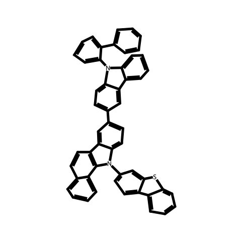 c1ccc(-c2ccccc2-n2c3ccccc3c3cc(-c4ccc5c(c4)c4ccc6ccccc6c4n5-c4ccc5c(c4)sc4ccccc45)ccc32)cc1